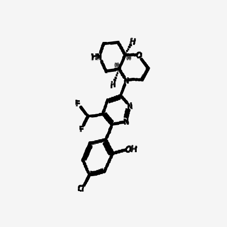 Oc1cc(Cl)ccc1-c1nnc(N2CCO[C@@H]3CCNC[C@@H]32)cc1C(F)F